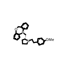 COc1ccc(CCN2CCC[C@@H]2CN2c3ccccc3COc3ccccc32)cc1